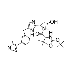 Cc1ncsc1-c1cccc(Cc2cnc([C@@H]3C[C@@H](O)CN3C(=O)[C@@H](NC(=O)OC(C)(C)C)C(C)(C)C)[nH]2)c1